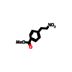 COC(=O)c1ccc(CC[N+](=O)[O-])cc1